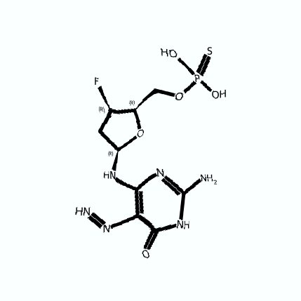 N=Nc1c(N[C@H]2C[C@@H](F)[C@@H](COP(O)(O)=S)O2)nc(N)[nH]c1=O